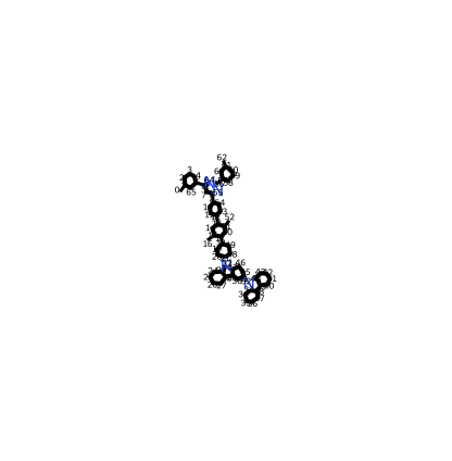 Cc1cccc(-c2cc(-c3ccc(-c4cc(C)c(-c5ccc(-n6c7ccccc7c7cc(-n8c9ccccc9c9ccccc98)ccc76)cc5)cc4C)cc3)nc(-c3cccc(C)c3)n2)c1